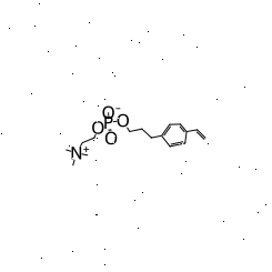 C=Cc1ccc(CCCOP(=O)([O-])OCC[N+](C)(C)C)cc1